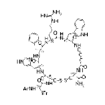 CC(=O)N[C@H](C(=O)N[C@H]1CSSC[C@@H](C(N)=O)NC(=O)CCCNC(=O)[C@H](Cc2c[nH]c3ccccc23)NC(=O)[C@H](CCCNC(=N)N)NC(=O)[C@@H](Cc2ccccc2)NC(=O)[C@H](Cc2c[nH]cn2)NC1=O)C(C)C